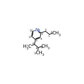 CCCc1cc(C(C)C(C)C)ccn1